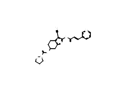 N#Cc1c(NC(=O)C=Cc2cccnc2)sc2c1CCC(OC(=O)N1CCCO1)C2